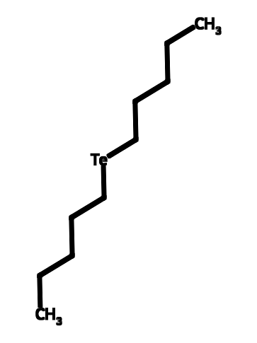 CCCCC[Te]CCCCC